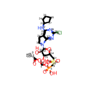 CC(C)(C)C(=O)OCOP(=O)(O)CS(=O)(=O)CC1O[C@@H](n2ccc3c(NC4CCCC4)nc(Cl)nc32)[C@H](O)[C@@H]1O